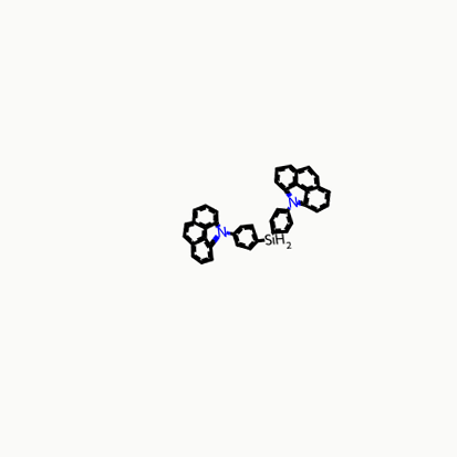 c1cc2ccc3cccc4c3c2c(c1)n4-c1ccc([SiH2]c2ccc(-n3c4cccc5ccc6cccc3c6c54)cc2)cc1